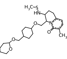 CSNC1CCc2ccc(C)c(=O)n2C1COC1CCC(COC2CCCCO2)CC1